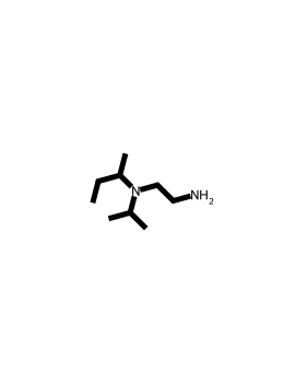 CCC(C)N(CCN)C(C)C